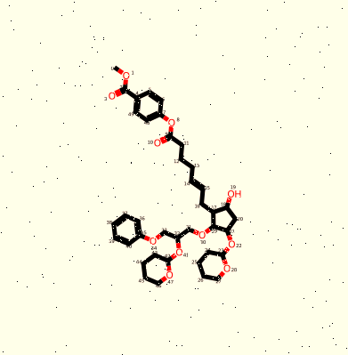 COC(=O)c1ccc(OC(=O)CCCC=CCC2C(O)CC(OC3CCCCO3)C2OCC(COc2ccccc2)OC2CCCCO2)cc1